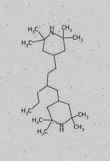 CCCC(CCC1CC(C)(C)NC(C)(C)C1)CC1CC(C)(C)NC(C)(C)C1